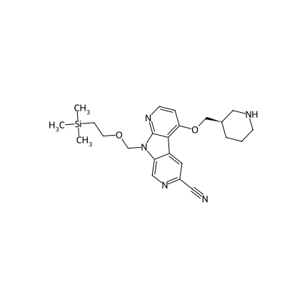 C[Si](C)(C)CCOCn1c2cnc(C#N)cc2c2c(OC[C@@H]3CCCNC3)ccnc21